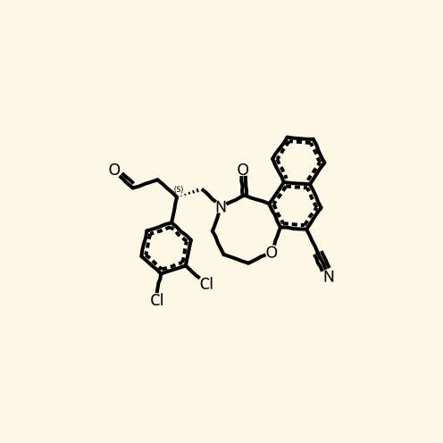 N#Cc1cc2ccccc2c2c1OCCCN(C[C@@H](CC=O)c1ccc(Cl)c(Cl)c1)C2=O